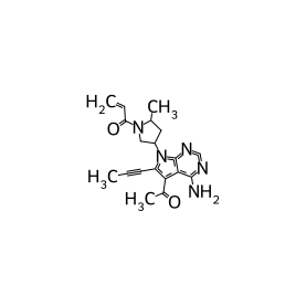 C=CC(=O)N1CC(n2c(C#CC)c(C(C)=O)c3c(N)ncnc32)CC1C